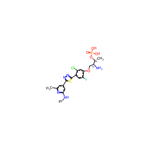 Cc1cc(-c2nnc(-c3cc(F)c(OC[C@H](N)[C@@H](C)OP(=O)(O)O)cc3Cl)s2)cc(NC(C)C)n1